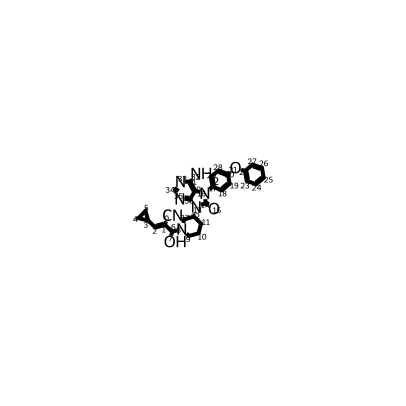 N#C/C(=C\C1CC1)C(O)N1CCC[C@@H](n2c(=O)n(-c3ccc(Oc4ccccc4)cc3)c3c(N)ncnc32)C1